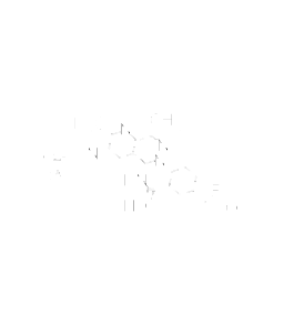 Cc1nc2c(C)nnc(N[C@H](C)c3cccc(C(F)(F)CO)c3F)c2cc1N1CCS(=O)(=O)CC1